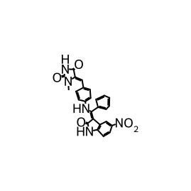 CN1C(=O)NC(=O)/C1=C/c1ccc(N/C(=C2\C(=O)Nc3ccc([N+](=O)[O-])cc32)c2ccccc2)cc1